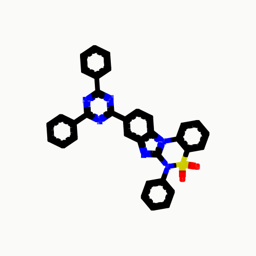 O=S1(=O)c2ccccc2-n2c(nc3cc(-c4nc(-c5ccccc5)nc(-c5ccccc5)n4)ccc32)N1c1ccccc1